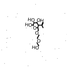 C=C(C)C1C(COCCOCCO)OC(O)C(O)C1O